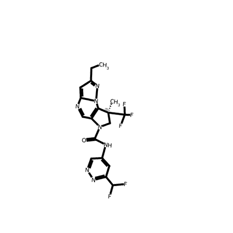 CCc1cc2ncc3c(n2n1)[C@@](C)(C(F)(F)F)CN3C(=O)Nc1cnnc(C(F)F)c1